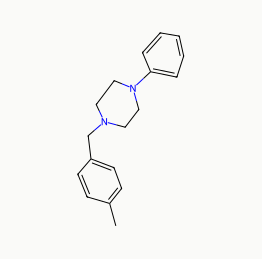 Cc1ccc(CN2CCN(c3ccccc3)CC2)cc1